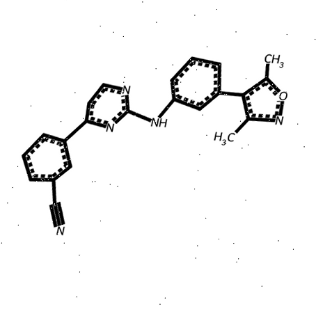 Cc1noc(C)c1-c1cccc(Nc2nccc(-c3cccc(C#N)c3)n2)c1